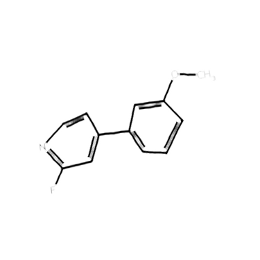 COc1cccc(-c2ccnc(F)c2)c1